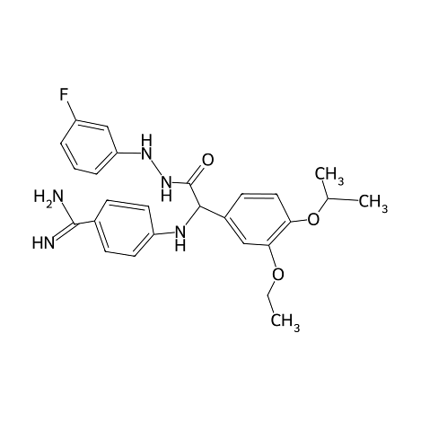 CCOc1cc(C(Nc2ccc(C(=N)N)cc2)C(=O)NNc2cccc(F)c2)ccc1OC(C)C